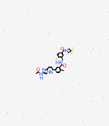 CC(=O)Nc1cn2nc(-c3ccc(C)c(C(=O)NCc4cc(C(=O)N5CC(F)(F)C5)ccc4F)c3)ccc2n1